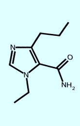 CCCc1ncn(CC)c1C(N)=O